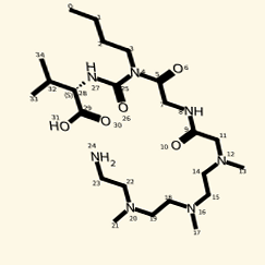 CCCCN(C(=O)CNC(=O)CN(C)CCN(C)CCN(C)CCN)C(=O)N[C@H](C(=O)O)C(C)C